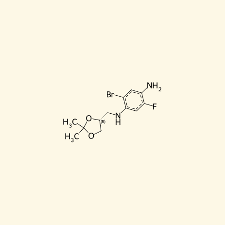 CC1(C)OC[C@@H](CNc2cc(F)c(N)cc2Br)O1